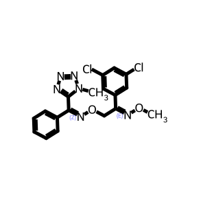 CO/N=C(/CO/N=C(/c1ccccc1)c1nnnn1C)c1cc(Cl)cc(Cl)c1